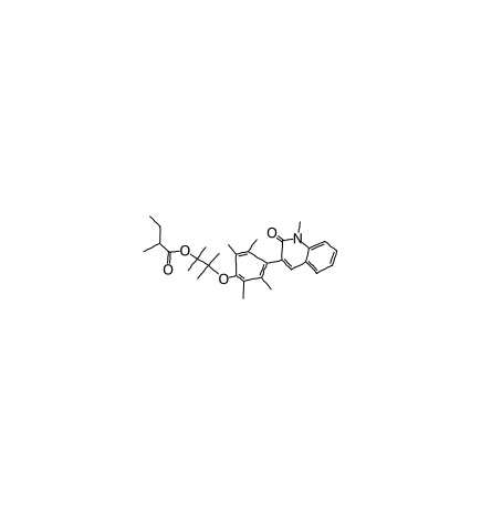 CCC(C)C(=O)OC(C)(C)C(C)(C)Oc1c(C)c(C)c(-c2cc3ccccc3n(C)c2=O)c(C)c1C